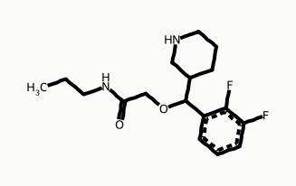 CCCNC(=O)COC(c1cccc(F)c1F)C1CCCNC1